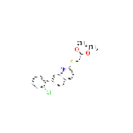 COC(CSc1ccc2ccc(-c3ccccc3Cl)cc2n1)OC